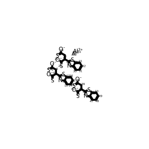 [Al+3].[Al+3].[O-]C(=S)CC(C([O-])=S)c1nc2ccccc2s1.[O-]C(=S)CC(C([O-])=S)c1nc2ccccc2s1.[O-]C(=S)CC(C([O-])=S)c1nc2ccccc2s1